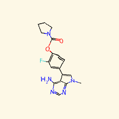 Cn1cc(-c2ccc(OC(=O)N3CCCC3)c(F)c2)c2c(N)ncnc21